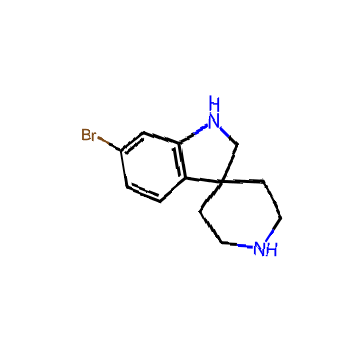 Brc1ccc2c(c1)NCC21CCNCC1